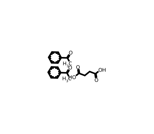 CC(=O)c1ccccc1.CC(=O)c1ccccc1.O=C(O)CCC(=O)O